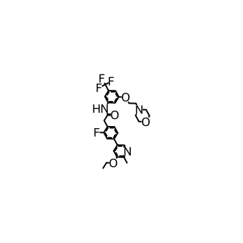 CCOc1cc(-c2ccc(CC(=O)Nc3cc(OCCN4CCOCC4)cc(C(F)(F)F)c3)c(F)c2)cnc1C